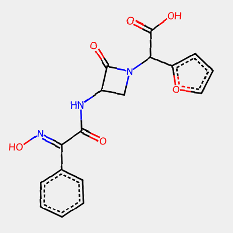 O=C(NC1CN(C(C(=O)O)c2ccco2)C1=O)/C(=N/O)c1ccccc1